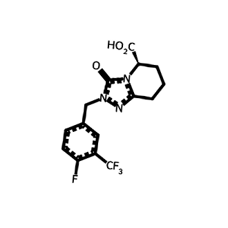 O=C(O)[C@H]1CCCc2nn(Cc3ccc(F)c(C(F)(F)F)c3)c(=O)n21